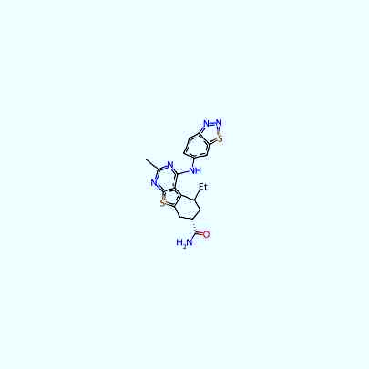 CCC1C[C@H](C(N)=O)Cc2sc3nc(C)nc(Nc4ccc5nnsc5c4)c3c21